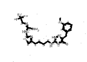 COc1cccc(Cc2n[nH]c(NCCCCc3csc(N/C(N)=N\CC(F)(F)F)n3)nc2=O)c1